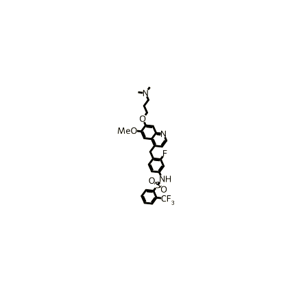 COc1cc2c(Cc3ccc(NS(=O)(=O)c4ccccc4C(F)(F)F)cc3F)ccnc2cc1OCCCN(C)C